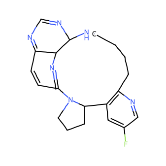 Fc1cnc2c(c1)C1CCCN1C1=NC3C(=NC=NC3NCCCC2)C=C1